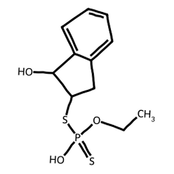 CCOP(O)(=S)SC1Cc2ccccc2C1O